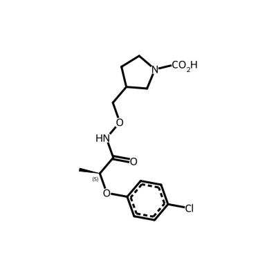 C[C@H](Oc1ccc(Cl)cc1)C(=O)NOCC1CCN(C(=O)O)C1